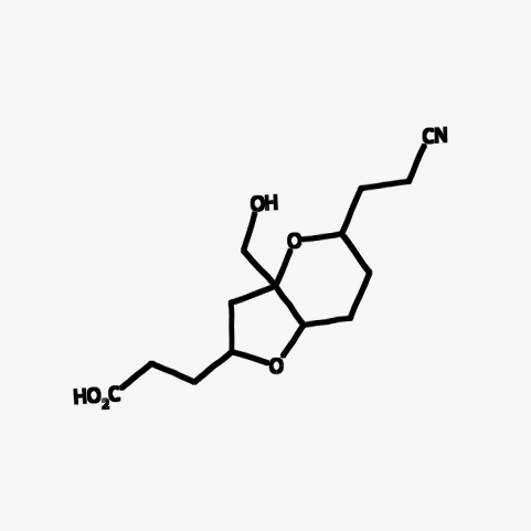 N#CCCC1CCC2OC(CCC(=O)O)CC2(CO)O1